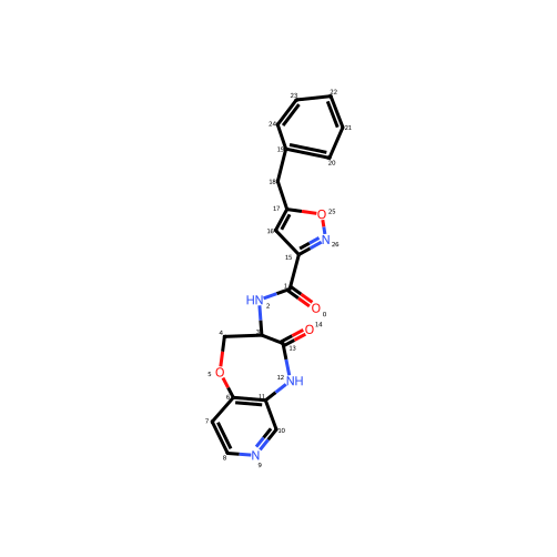 O=C(NC1COc2ccncc2NC1=O)c1cc(Cc2ccccc2)on1